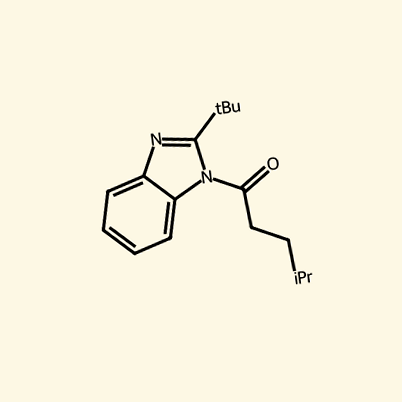 CC(C)CCC(=O)n1c(C(C)(C)C)nc2ccccc21